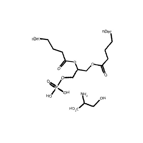 CCCCCCCCCCCCCC(=O)OCC(COP(=O)(O)O)OC(=O)CCCCCCCCCCCCC.NC(CO)C(=O)O